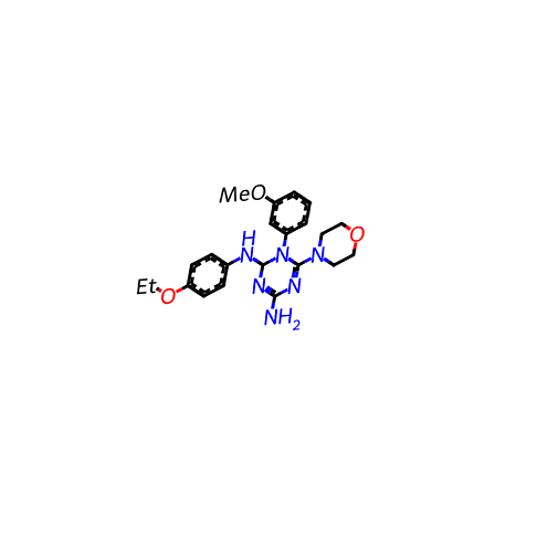 CCOc1ccc(NC2N=C(N)N=C(N3CCOCC3)N2c2cccc(OC)c2)cc1